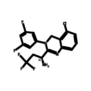 N[C@@H](CC(F)(F)F)C1=Nc2cccc(Cl)c2CN1c1cc(F)cc(F)c1